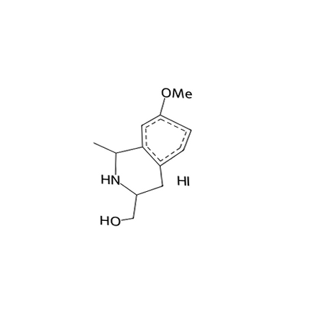 COc1ccc2c(c1)C(C)NC(CO)C2.I